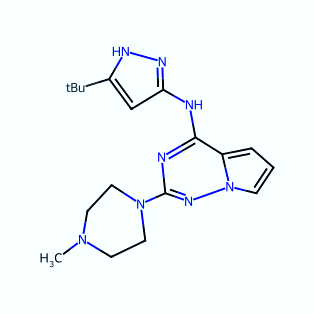 CN1CCN(c2nc(Nc3cc(C(C)(C)C)[nH]n3)c3cccn3n2)CC1